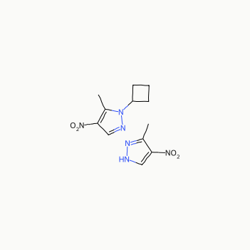 Cc1c([N+](=O)[O-])cnn1C1CCC1.Cc1n[nH]cc1[N+](=O)[O-]